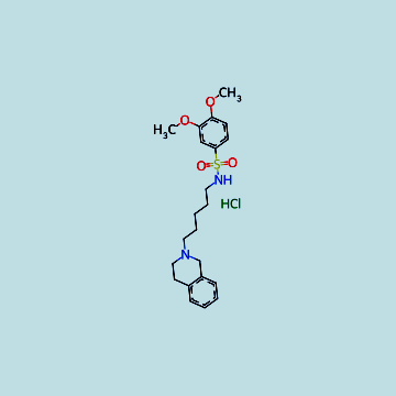 COc1ccc(S(=O)(=O)NCCCCCN2CCc3ccccc3C2)cc1OC.Cl